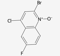 [O-][n+]1c(Br)cc(Cl)c2cc(F)ccc21